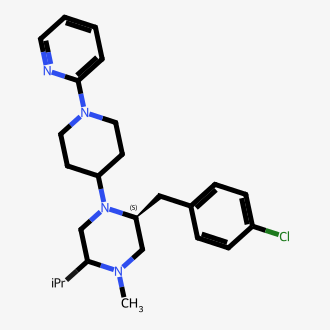 CC(C)C1CN(C2CCN(c3ccccn3)CC2)[C@@H](Cc2ccc(Cl)cc2)CN1C